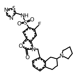 O=c1oc2cc(S(=O)(=O)Nc3ncns3)c(F)cc2n1Cc1cccc2c1CC(N1CCCC1)CC2